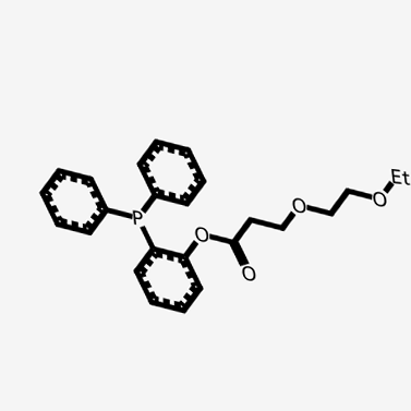 CCOCCOCCC(=O)Oc1ccccc1P(c1ccccc1)c1ccccc1